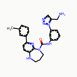 Cc1cccc(-c2ccc3c(n2)N(C(=O)Nc2cccc(-n4nncc4CN)c2)CCCN3)c1